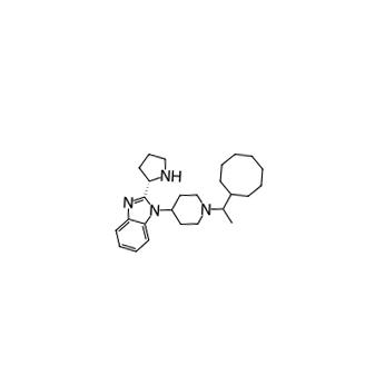 CC(C1CCCCCCC1)N1CCC(n2c([C@@H]3CCCN3)nc3ccccc32)CC1